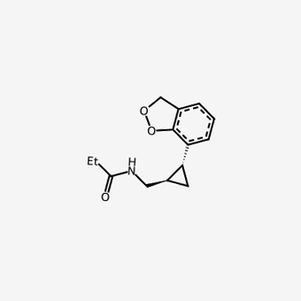 CCC(=O)NC[C@@H]1C[C@H]1c1cccc2c1OOC2